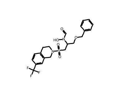 O=CN(O)C(COCc1ccccc1)CS(=O)(=O)N1CCc2ccc(C(F)(F)F)cc2C1